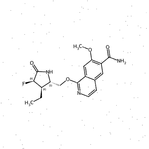 CC[C@@H]1[C@@H](COc2nccc3cc(C(N)=O)c(OC)cc23)NC(=O)[C@@H]1F